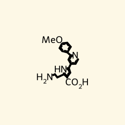 COc1ccc(-c2cc(-c3cc(C(=O)O)c(CCN)[nH]3)ccn2)cc1